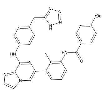 Cc1c(NC(=O)c2ccc(C(C)(C)C)cc2)cccc1-c1cn2ccnc2c(Nc2ccc(Cc3nnn[nH]3)cc2)n1